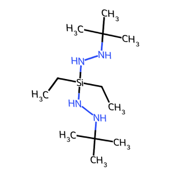 CC[Si](CC)(NNC(C)(C)C)NNC(C)(C)C